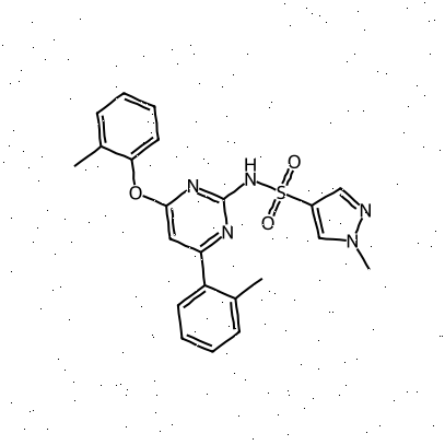 Cc1ccccc1Oc1cc(-c2ccccc2C)nc(NS(=O)(=O)c2cnn(C)c2)n1